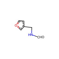 O=CNCc1ccoc1